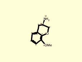 COc1cccc2c1OC[C@H](N)C2